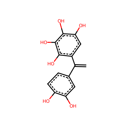 C=C(c1ccc(O)c(O)c1)c1cc(O)c(O)c(O)c1O